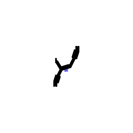 N#C/C=C(\I)C#N